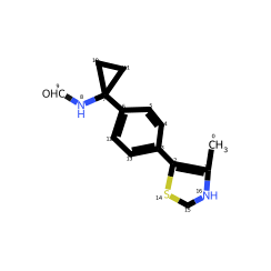 CC1=C(c2ccc(C3(NC=O)CC3)cc2)SCN1